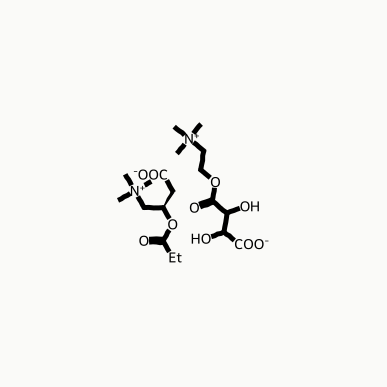 CCC(=O)O[C@H](CC(=O)[O-])C[N+](C)(C)C.C[N+](C)(C)CCOC(=O)C(O)C(O)C(=O)[O-]